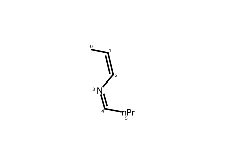 C/C=C\N=C/CCC